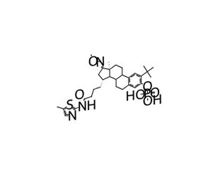 CO/N=C1\C[C@@H](CCCC(=O)Nc2ncc(C)s2)C2C3CCc4cc(OP(=O)(O)O)c(C(C)(C)C)cc4C3CC[C@]12C